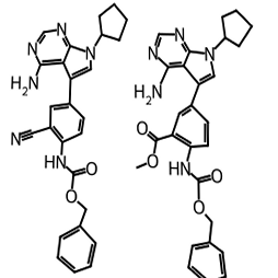 COC(=O)c1cc(-c2cn(C3CCCC3)c3ncnc(N)c23)ccc1NC(=O)OCc1ccccc1.N#Cc1cc(-c2cn(C3CCCC3)c3ncnc(N)c23)ccc1NC(=O)OCc1ccccc1